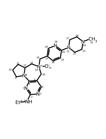 CCNc1ncc2c(n1)N1CCCC1C[N+]([O-])(Cc1ccc(N3CCN(C)CC3)nc1)C2